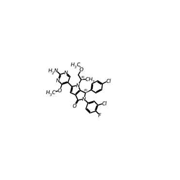 COC[C@@H](C)n1c(-c2cnc(N)nc2OC)cc2c1[C@@H](c1ccc(Cl)cc1)N(c1ccc(F)c(Cl)c1)C2=O